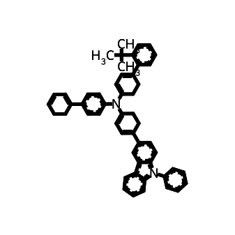 CC(C)(C)c1ccccc1C1=CC=C(N(C2=CC=C(c3ccc4c(c3)c3ccccc3n4-c3ccccc3)CC2)c2ccc(C3=CC=CCC3)cc2)CC1